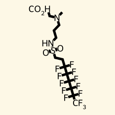 CN(CCCNS(=O)(=O)CCC(F)(F)C(F)(F)C(F)(F)C(F)(F)C(F)(F)C(F)(F)F)CC(=O)O